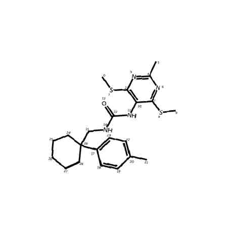 CSc1nc(C)nc(SC)c1NC(=O)NCC1(c2ccc(C)cc2)CCCCC1